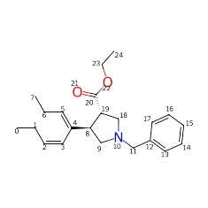 CC/C=C\C(=C/CC)[C@@H]1CN(Cc2ccccc2)C[C@H]1C(=O)OCC